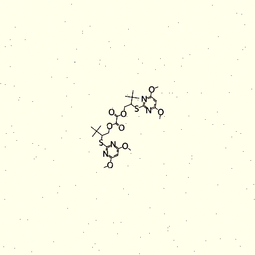 COc1cc(OC)nc(SC(COC(=O)C(=O)OCC(Sc2nc(OC)cc(OC)n2)C(C)(C)C)C(C)(C)C)n1